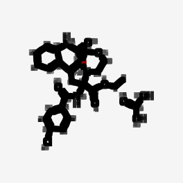 CCOC(=O)C(Cc1cc(=O)[nH]c2ccccc12)(NC(=O)c1ccc(Cl)cc1)N1CCOCC1.O=C(O)O